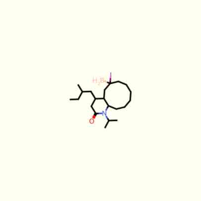 BC1(I)CCCCCCC2C(C1)C(CC(C)CC)CC(=O)N2C(C)C